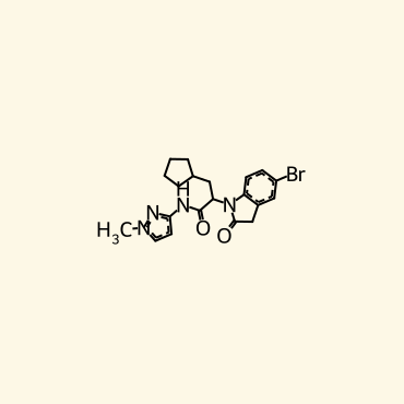 Cn1ccc(NC(=O)C(CC2CCCC2)N2C(=O)Cc3cc(Br)ccc32)n1